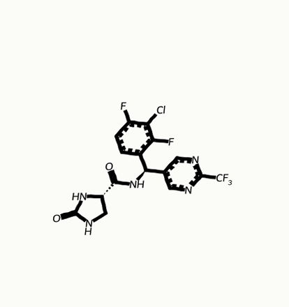 O=C1NC[C@@H](C(=O)N[C@H](c2cnc(C(F)(F)F)nc2)c2ccc(F)c(Cl)c2F)N1